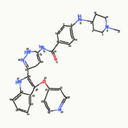 CN1CCC(Nc2ccc(C(=O)Nc3cc(-c4[nH]c5ccccc5c4Oc4ccncc4)n[nH]3)cc2)CC1